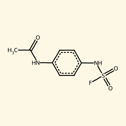 CC(=O)Nc1ccc(NS(=O)(=O)F)cc1